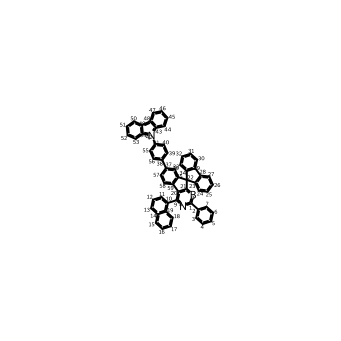 b1c(-c2ccccc2)nc(-c2cccc3ccccc23)c2c1C1(c3ccccc3-c3ccccc31)c1cc(-c3ccc(-n4c5ccccc5c5ccccc54)cc3)ccc1-2